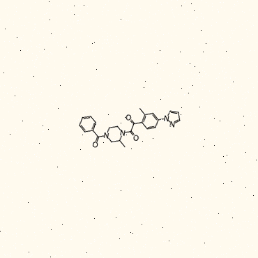 Cc1cc(-n2cccn2)ccc1C(=O)C(=O)N1CCN(C(=O)c2ccccc2)CC1C